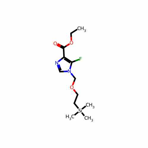 CCOC(=O)c1ncn(COCC[Si](C)(C)C)c1F